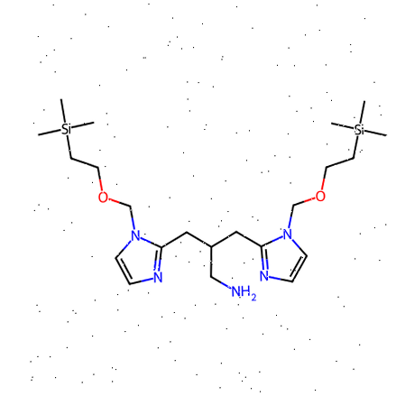 C[Si](C)(C)CCOCn1ccnc1CC(CN)Cc1nccn1COCC[Si](C)(C)C